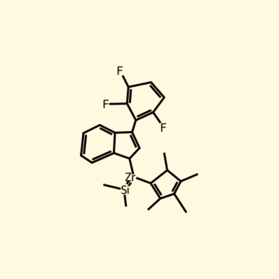 CC1=C(C)C(C)[C]([Zr]([CH]2C=C(c3c(F)ccc(F)c3F)c3ccccc32)=[Si](C)C)=C1C